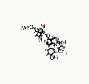 COCCC12C[C@@H]3CC1[C@@H](C[C@@H](Oc1ncc([C@H]4CC[C@H](O)CC4)c4nc(N[C@@H](C)CC(F)(F)F)ncc14)C3)C2